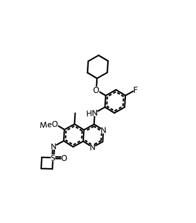 COc1c(N=S2(=O)CCC2)cc2ncnc(Nc3ccc(F)cc3OC3CCCCC3)c2c1C